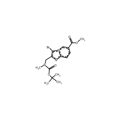 COC(=O)c1ccc2nc(CN(C)C(=O)OC(C)(C)C)c(Br)n2c1